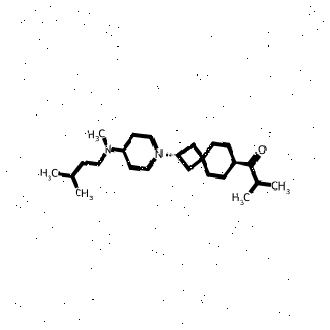 CC(C)CCN(C)C1CCN([C@H]2CC3(CC[C@H](C(=O)C(C)C)CC3)C2)CC1